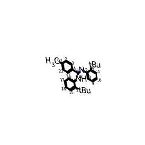 Cc1ccc(/C(=N/c2ccccc2C(C)(C)C)Nc2ccccc2C(C)(C)C)cc1